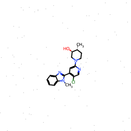 C[C@@H]1CCN(c2cc(-c3nc4ccccc4n3C)c(Cl)cn2)C[C@H]1O